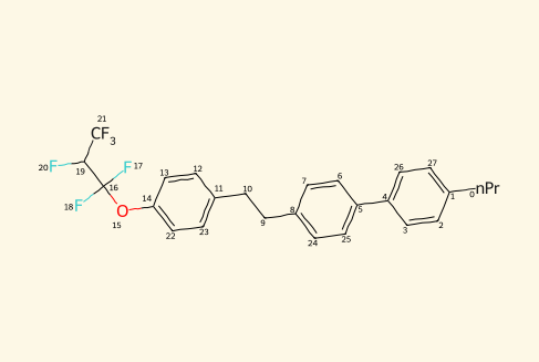 CCCc1ccc(-c2ccc(CCc3ccc(OC(F)(F)C(F)C(F)(F)F)cc3)cc2)cc1